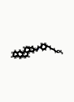 CCCCCc1ccc(/C=C/c2cc3c(ccc4c5cc6ccccc6cc5ccc34)s2)cc1